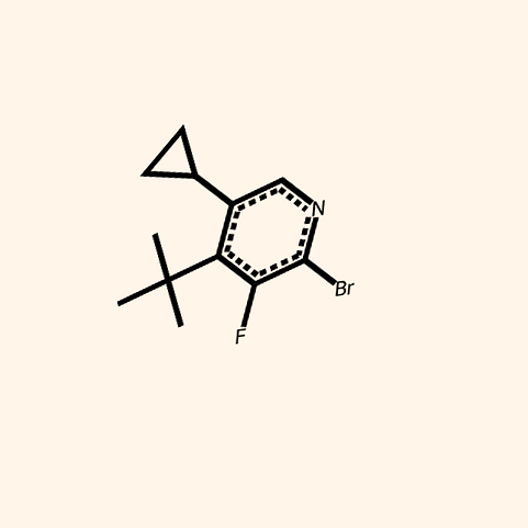 CC(C)(C)c1c(C2CC2)cnc(Br)c1F